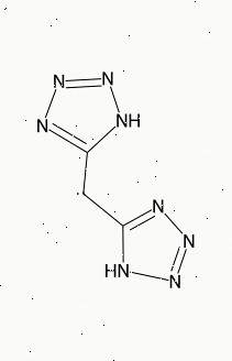 [CH](c1nnn[nH]1)c1nnn[nH]1